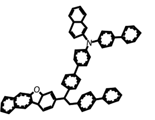 C1=CC2C=CC(N(c3ccc(-c4ccccc4)cc3)c3ccc(-c4ccc(C(Cc5ccc(-c6ccccc6)cc5)C5=CC6Oc7cc8ccccc8cc7C6C=C5)cc4)cc3)=CC2C=C1